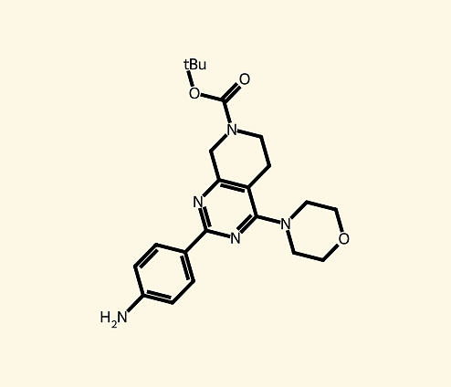 CC(C)(C)OC(=O)N1CCc2c(nc(-c3ccc(N)cc3)nc2N2CCOCC2)C1